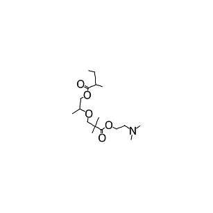 CCC(C)C(=O)OCC(C)OCC(C)(C)C(=O)OCCN(C)C